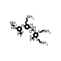 NCCCc1cc(NC(=O)Nc2cc(C(F)(F)F)c(SCCN)cc2SCCN)ccc1Oc1cc(NCCN)cc(C(F)(F)F)c1